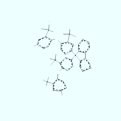 CC(C)(C)c1cc(C2(c3ccc(Oc4ccc(N)cc4C(F)(F)F)c(C(C)(C)C)c3)c3ccccc3-c3ccccc32)ccc1Oc1ccc(N)cc1C(F)(F)F